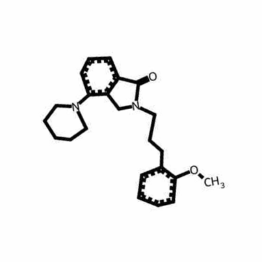 COc1ccccc1CCCN1Cc2c(cccc2N2CCCCC2)C1=O